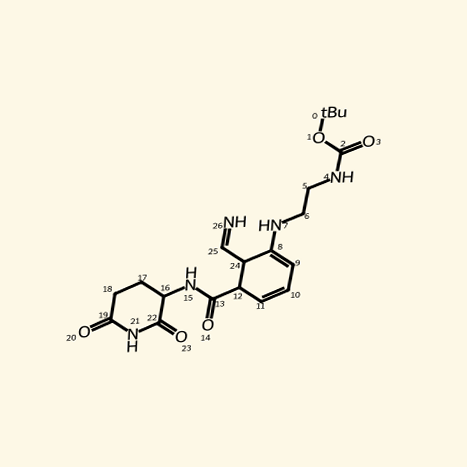 CC(C)(C)OC(=O)NCCNC1=CC=CC(C(=O)NC2CCC(=O)NC2=O)C1C=N